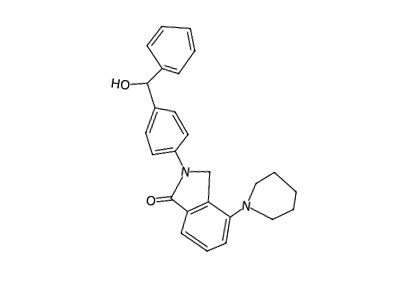 O=C1c2cccc(N3CCCCC3)c2CN1c1ccc(C(O)c2ccccc2)cc1